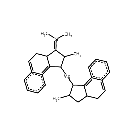 CC1CC2CC=c3ccccc3=C2[CH]1[Mg][CH]1C2=c3ccccc3=CCC2C(=[Si](C)C)C1C